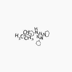 CC(C)(C)C1CCC(Nc2nc(C3CCCCC3)nc(N3CCCCC3)n2)CC1